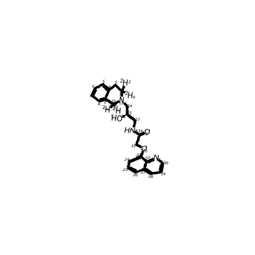 [2H]C1([2H])Cc2ccccc2C([2H])([2H])N1C[C@H](O)CNC(=O)COc1cccc2cccnc12